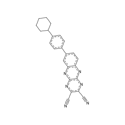 N#Cc1nc2nc3ccc(-c4ccc(C5CCCCC5)cc4)cc3nc2nc1C#N